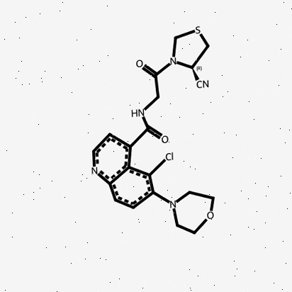 N#C[C@@H]1CSCN1C(=O)CNC(=O)c1ccnc2ccc(N3CCOCC3)c(Cl)c12